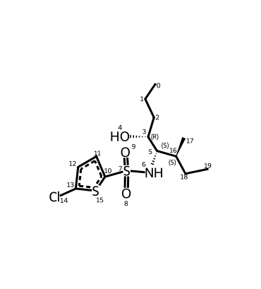 CCC[C@@H](O)[C@@H](NS(=O)(=O)c1ccc(Cl)s1)[C@@H](C)CC